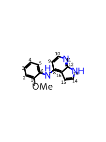 COc1ccccc1Nc1ccnc2[nH]ccc12